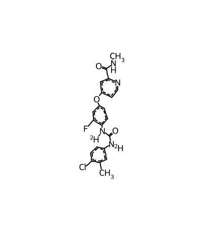 [2H]N(C(=O)N([2H])c1ccc(Oc2ccnc(C(=O)NC)c2)cc1F)c1ccc(Cl)c(C)c1